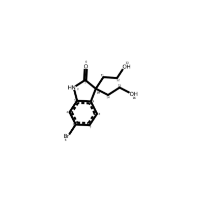 O=C1Nc2cc(Br)ccc2C1(CCO)CCO